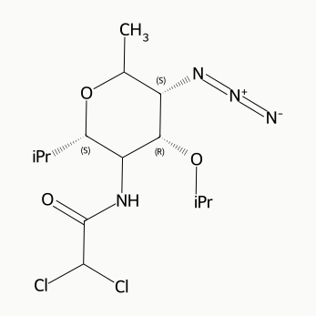 CC(C)O[C@@H]1C(NC(=O)C(Cl)Cl)[C@H](C(C)C)OC(C)[C@@H]1N=[N+]=[N-]